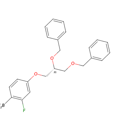 Bc1ccc(OC[C@@H](COCc2ccccc2)OCc2ccccc2)cc1F